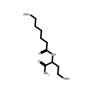 CCCCCCCCCCCCCCCC(=O)NC(CCSC)C(N)=O